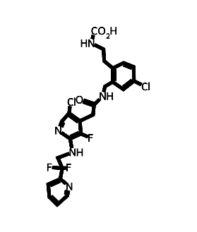 O=C(O)NCCc1ccc(Cl)cc1CNC(=O)Cc1c(Cl)cnc(NCC(F)(F)c2ccccn2)c1F